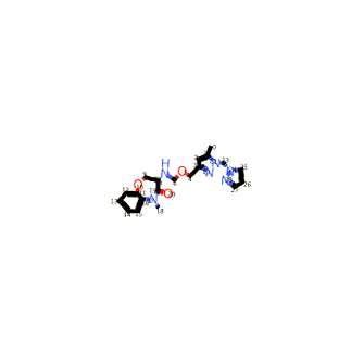 Cc1cc(COCN[C@H]2COc3ccccc3N(C)C2=O)nn1Cn1cccn1